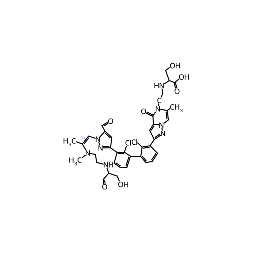 C/C(=C/n1nc(-c2cccc(-c3cccc(-c4cc5c(=O)n(CCNC(CO)C(=O)O)c(C)cn5n4)c3Cl)c2Cl)cc1C=O)N(C)CCNC(C=O)CO